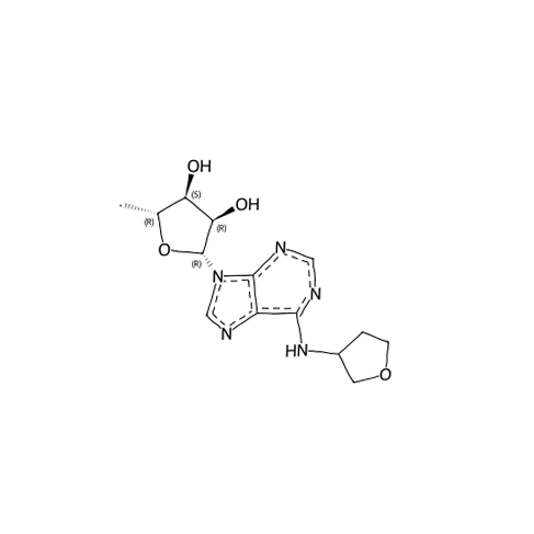 [CH2][C@H]1O[C@@H](n2cnc3c(NC4CCOC4)ncnc32)[C@H](O)[C@@H]1O